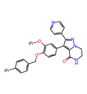 CC(C)Oc1cc(-c2c(-c3ccncc3)nn3c2C(=O)NCC3)ccc1OCc1ccc(C(C)C)cc1